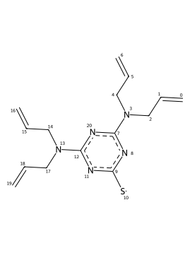 C=CCN(CC=C)c1nc([S])nc(N(CC=C)CC=C)n1